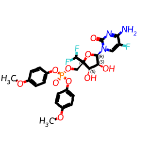 COc1ccc(OP(=O)(OC[C@@]2(C(F)F)O[C@@H](n3cc(F)c(N)nc3=O)[C@@H](O)[C@@H]2O)Oc2ccc(OC)cc2)cc1